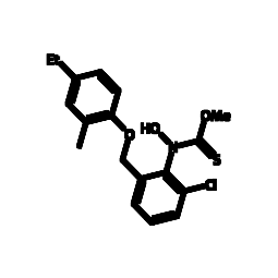 CCc1ccc(OCc2cccc(Cl)c2N(O)C(=S)OC)c(C)c1